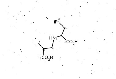 CC(C)CC(NCC(C)C(=O)O)C(=O)O